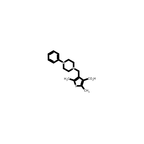 Cc1sc(C)c(C(=O)O)c1CN1CCN(c2ccccc2)CC1